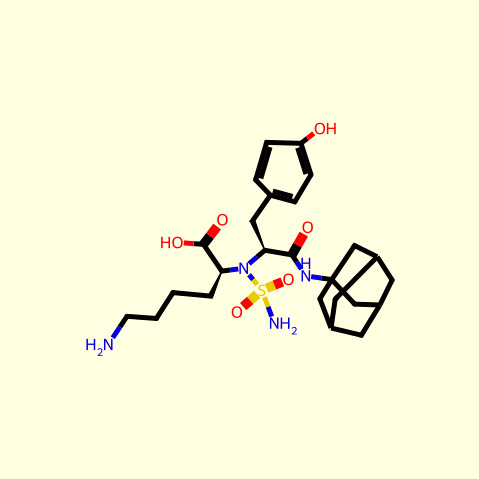 NCCCC[C@@H](C(=O)O)N([C@@H](Cc1ccc(O)cc1)C(=O)NC12CC3CC(CC(C3)C1)C2)S(N)(=O)=O